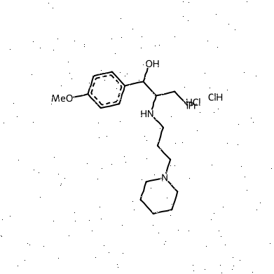 COc1ccc(C(O)C(CC(C)C)NCCCN2CCCCC2)cc1.Cl.Cl